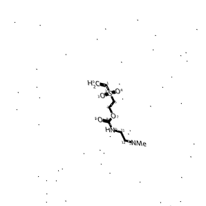 C=CS(=O)(=O)CCOC(=O)NCCNC